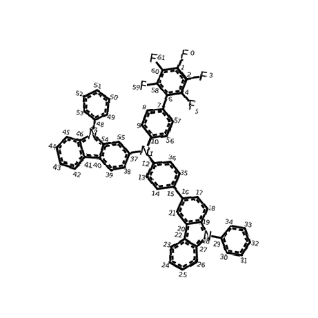 Fc1c(F)c(F)c(-c2ccc(N(c3ccc(-c4ccc5c(c4)c4ccccc4n5-c4ccccc4)cc3)c3ccc4c5ccccc5n(-c5ccccc5)c4c3)cc2)c(F)c1F